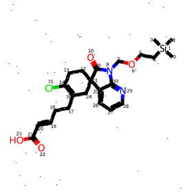 C[Si](C)(C)CCOCN1C(=O)C2(CCC(Cl)=C(CCC=CC(=O)O)C2)c2cccnc21